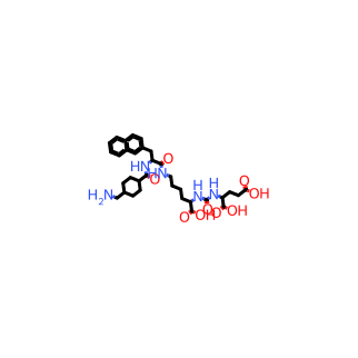 NCC1CCC(C(=O)NC(Cc2ccc3ccccc3c2)C(=O)NCCCCC(NC(=O)NC(CCC(=O)O)C(=O)O)C(=O)O)CC1